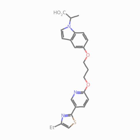 CCc1csc(-c2ccc(OCCCOc3ccc4c(ccn4C(C)C(=O)O)c3)nc2)n1